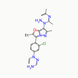 C=CN(/N=C\N)c1ccc(-c2c(CC)oc3c(N(N)/C(C)=N\C(=C)C)c(C)nn23)c(Cl)c1